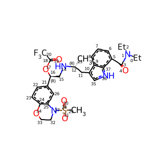 CCN(CC)C(=O)c1cccc2c(C[C@@H](C)NC[C@H](OC(=O)C(F)(F)F)c3ccc4c(c3)N(S(C)(=O)=O)CCO4)c[nH]c12